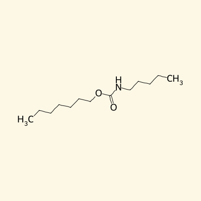 CCCCCCCOC(=O)NCCCCC